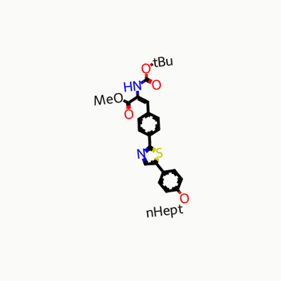 CCCCCCCOc1ccc(-c2cnc(-c3ccc(/C=C(/NC(=O)OC(C)(C)C)C(=O)OC)cc3)s2)cc1